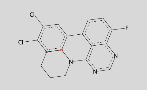 Fc1ccc(-c2ccc(Cl)c(Cl)c2)c2c(N3CCCCC3)ncnc12